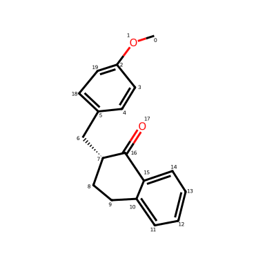 COc1ccc(C[C@H]2CCc3ccccc3C2=O)cc1